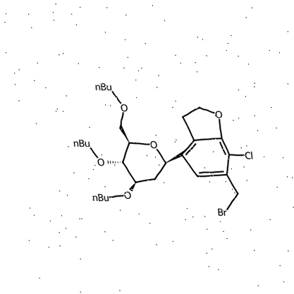 CCCCOC[C@H]1O[C@@H](c2cc(CBr)c(Cl)c3c2CCO3)C[C@@H](OCCCC)[C@@H]1OCCCC